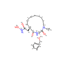 CN1CCCCCCCCC[C@H](CC(=O)NO)C(=O)N[C@@H](COCc2ccccc2)C1=O